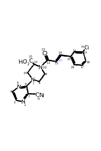 N#Cc1nccnc1N1CCN(C(=O)/C=C/c2cccc(Cl)c2)C(C(=O)O)C1